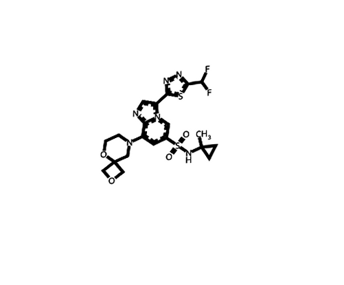 CC1(NS(=O)(=O)c2cc(N3CCOC4(COC4)C3)c3ncc(-c4nnc(C(F)F)s4)n3c2)CC1